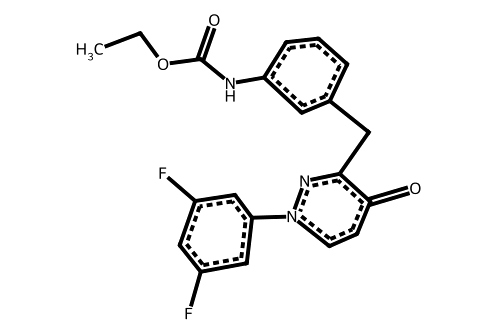 CCOC(=O)Nc1cccc(Cc2nn(-c3cc(F)cc(F)c3)ccc2=O)c1